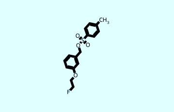 Cc1ccc(S(=O)(=O)OCc2cccc(OCCF)c2)cc1